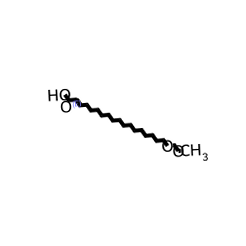 COCOCCCCCCCCCCCCCCC/C=C/C(=O)O